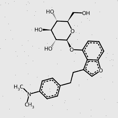 CN(C)c1ccc(CCc2coc3cccc(O[C@@H]4O[C@H](CO)[C@@H](O)[C@H](O)[C@H]4O)c23)cc1